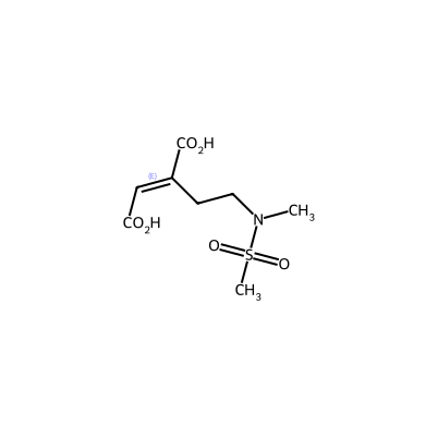 CN(CC/C(=C\C(=O)O)C(=O)O)S(C)(=O)=O